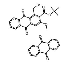 COc1cc2c(c(CBr)c1C(=O)OC(C)(C)C)C(=O)c1ccccc1C2=O.O=C1c2ccccc2C(=O)c2ccccc21